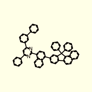 c1ccc(-c2cccc(-c3cc(-c4ccccc4)nc(-c4ccc(-c5ccc6c(c5)C(c5ccccc5)(c5ccccc5)c5c-6ccc6ccccc56)c5ccccc45)n3)c2)cc1